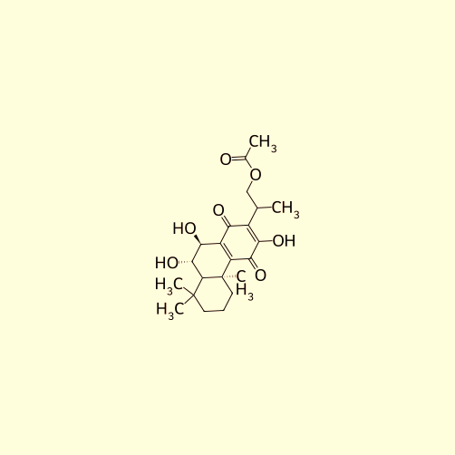 CC(=O)OCC(C)C1=C(O)C(=O)C2=C(C1=O)[C@H](O)[C@@H](O)C1C(C)(C)CCC[C@]21C